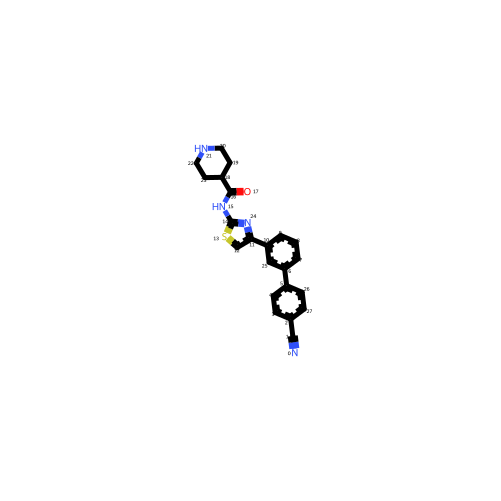 N#Cc1ccc(-c2cccc(-c3csc(NC(=O)C4CCNCC4)n3)c2)cc1